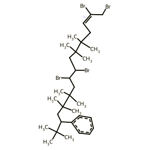 CC(C)(C)C(CC(C)(C)C(C)(C)CC(Br)C(Br)CC(C)(C)C(C)(C)C/C=C(/Br)CBr)c1ccccc1